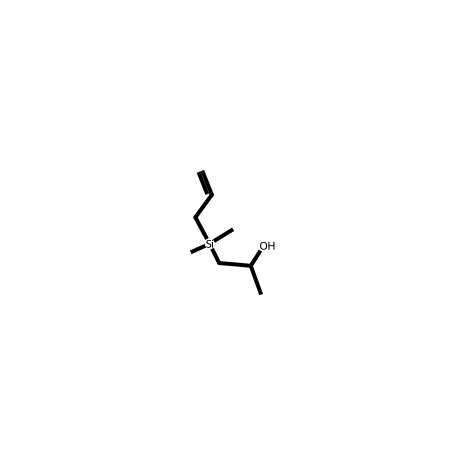 C=CC[Si](C)(C)CC(C)O